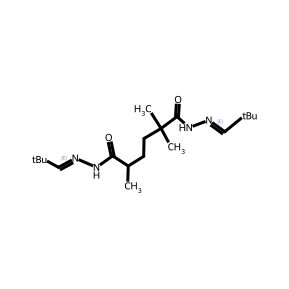 CC(CCC(C)(C)C(=O)N/N=C/C(C)(C)C)C(=O)N/N=C/C(C)(C)C